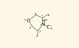 [CH2-][NH+]1C(C)COCC1C